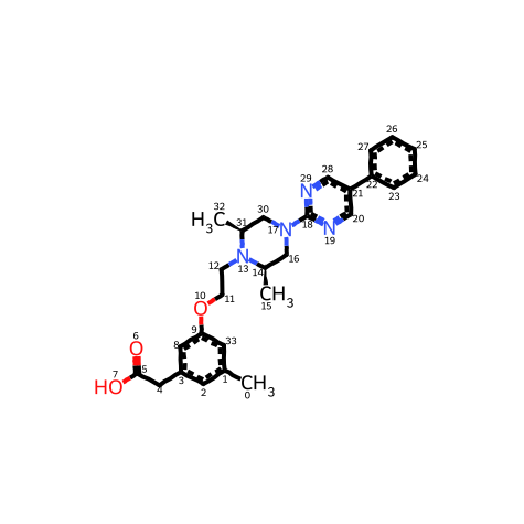 Cc1cc(CC(=O)O)cc(OCCN2[C@H](C)CN(c3ncc(-c4ccccc4)cn3)C[C@@H]2C)c1